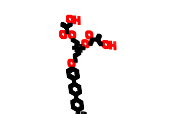 C=C(CO)C(=O)COC[Si](C)(CCCOc1ccc(C2CCC(C3CCC(CCCCC)CC3)CC2)cc1)CCOC(=O)C(=C)CO